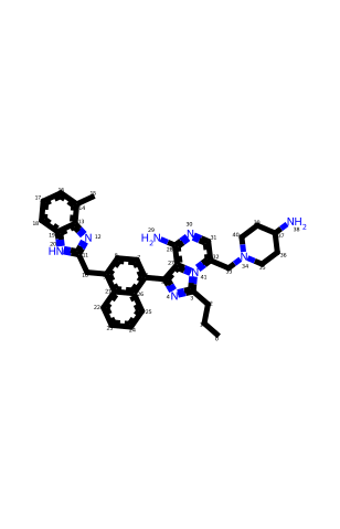 CCCc1nc(-c2ccc(Cc3nc4c(C)cccc4[nH]3)c3ccccc23)c2c(N)ncc(CN3CCC(N)CC3)n12